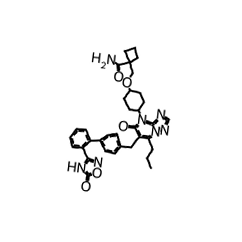 CCCc1c(Cc2ccc(-c3ccccc3-c3noc(=O)[nH]3)cc2)c(=O)n(C2CCC(OCC3(C(N)=O)CCC3)CC2)c2ncnn12